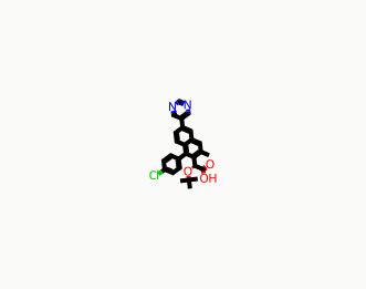 Cc1cc2cc(-c3cncnc3)ccc2c(-c2ccc(Cl)cc2)c1[C@H](OC(C)(C)C)C(=O)O